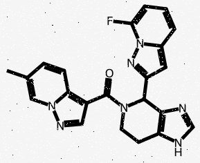 Cc1ccc2c(C(=O)N3CCc4[nH]cnc4C3c3cc4cccc(F)n4n3)cnn2c1